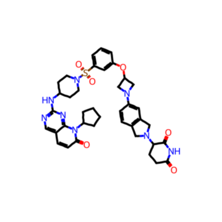 O=C1CCC(N2Cc3ccc(N4CC(Oc5cccc(S(=O)(=O)N6CCC(Nc7ncc8ccc(=O)n(C9CCCC9)c8n7)CC6)c5)C4)cc3C2)C(=O)N1